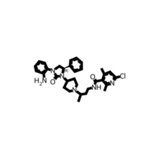 Cc1cc(Cl)nc(C)c1C(=O)NCCC(C)N1CCC(N2C(=O)N(c3ccccc3N)C[C@H]2c2ccccc2)CC1